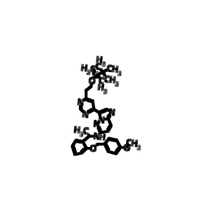 COc1ccc(COc2ccccc2C(C)Nc2ccc3ncc(-c4cc(CCO[Si](C)(C)C(C)(C)C)ncn4)n3n2)cc1